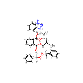 CC(C)(OOC(C)(C)c1ccccc1)c1ccccc1.CCCCC(CC)COC(=O)c1ccccc1C(=O)OCC(CC)CCCC.c1ccc2[nH]nnc2c1